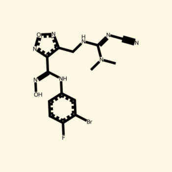 CN(C)/C(=N\C#N)NCc1nonc1/C(=N/O)Nc1ccc(F)c(Br)c1